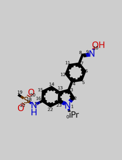 CC(C)n1cc(-c2ccc(C=NO)cc2)c2ccc(NS(C)(=O)=O)cc21